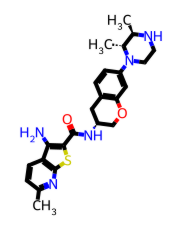 Cc1ccc2c(N)c(C(=O)N[C@H]3COc4cc(N5CCN[C@H](C)[C@H]5C)ccc4C3)sc2n1